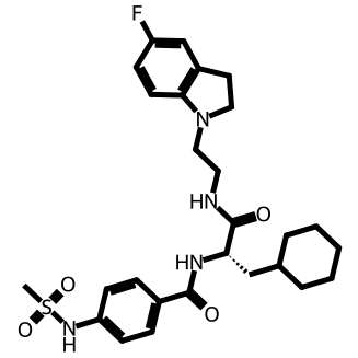 CS(=O)(=O)Nc1ccc(C(=O)N[C@@H](CC2CCCCC2)C(=O)NCCN2CCc3cc(F)ccc32)cc1